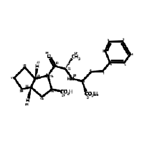 CCOC(=O)[C@H](CCc1ccccc1)N[C@@H](C)C(=O)N1C(C(=O)O)C[C@@H]2CCC[C@@H]21